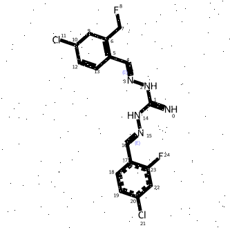 N=C(N/N=C/C1=C(CF)CC(Cl)C=C1)N/N=C/c1ccc(Cl)cc1F